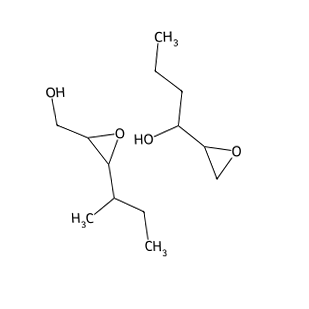 CCC(C)C1OC1CO.CCCC(O)C1CO1